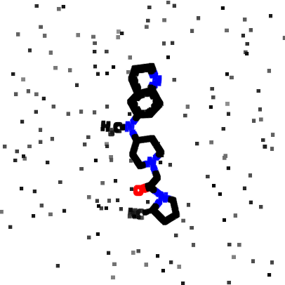 CN(c1ccc2ncccc2c1)C1CCN(CC(=O)N2CCC[C@H]2C#N)CC1